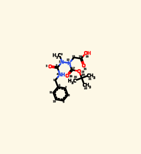 CN(C(=O)NCc1ccccc1)N(CC(=O)O)C(=O)OC(C)(C)C